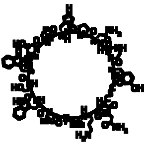 CCCC[C@H]1C(=O)N(C)[C@@H](CCCC)C(=O)N[C@@H](CCCN)C(=O)N[C@H](C(=O)NCC(N)=O)CSCC(=O)N[C@@H](Cc2ccc(O)cc2)C(=O)N2CCNC[C@H]2C(=O)N[C@@H](CC(N)=O)C(=O)N2CCC[C@H]2C(=O)N[C@@H](Cc2c[nH]cn2)C(=O)N[C@@H](CC(C)C)C(=O)N2C[C@H](O)C[C@H]2C(=O)N[C@@H](Cc2c[nH]c3ccccc23)C(=O)N[C@@H](CO)C(=O)N[C@@H](Cc2c[nH]c3ccccc23)C(=O)N1C